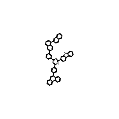 c1cc(-c2ccc3c(-c4ccc5ccccc5c4)cccc3c2)cc(-c2nc(-c3ccc(-c4cc5ccccc5c5ccccc45)cc3)nc(-c3ccc4c(c3)sc3ccccc34)n2)c1